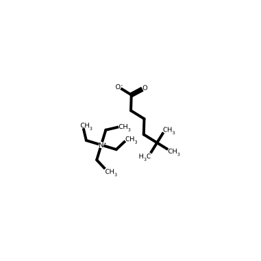 CC(C)(C)CCCC(=O)[O-].CC[N+](CC)(CC)CC